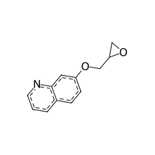 c1cnc2cc(OCC3CO3)ccc2c1